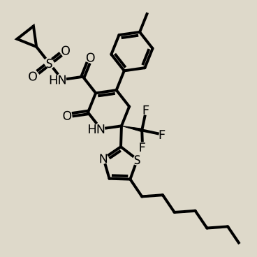 CCCCCCCc1cnc([C@@]2(C(F)(F)F)CC(c3ccc(C)cc3)=C(C(=O)NS(=O)(=O)C3CC3)C(=O)N2)s1